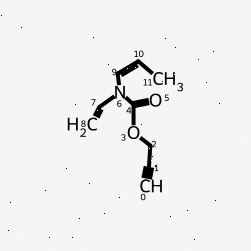 C#CCOC(=O)N(C=C)/C=C\C